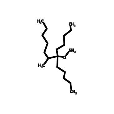 CCCCCC(C)C(CCCCC)(CCCCC)O[SiH3]